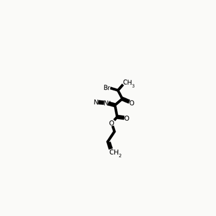 C=CCOC(=O)C(=[N+]=[N-])C(=O)C(C)Br